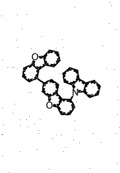 c1ccc2c(c1)oc1cccc(-c3ccc4c(c3)oc3cccc(-n5c6ccccc6c6ccccc65)c34)c12